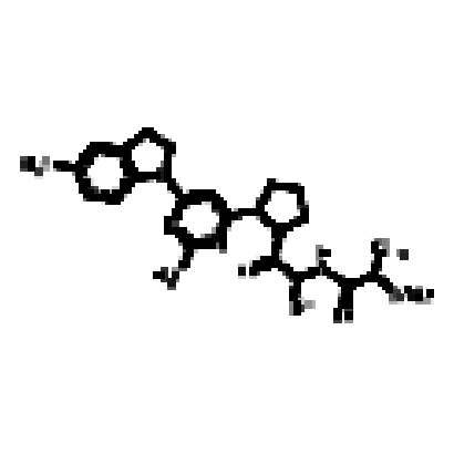 CNC(C)C(=O)NC(C(=O)N1CCCC1c1cc(N2CCc3cc(C)ccc32)nc(C)n1)C(C)C